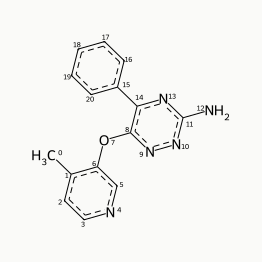 Cc1ccncc1Oc1nnc(N)nc1-c1ccccc1